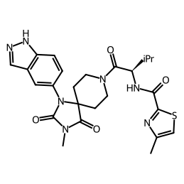 Cc1csc(C(=O)N[C@@H](C(=O)N2CCC3(CC2)C(=O)N(C)C(=O)N3c2ccc3[nH]ncc3c2)C(C)C)n1